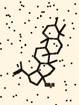 C=C(C)C1CCC2(C(=O)O)CCC3(C)C(CCC4C5(C)CCC(C)C(C)(C)C5CCC43C)C12